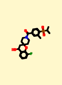 Cc1cc(C(=O)N2CCC3(CC2)CC(O)c2cccc(F)c2O3)ccc1S(=O)(=O)C(C)C